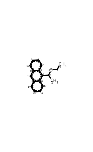 CCSC(C)c1c2ccccc2cc2ccccc12